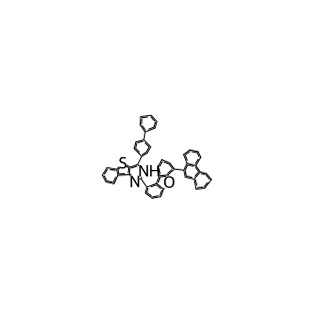 c1ccc(-c2ccc(C3=c4sc5ccccc5c4=NC(c4cccc5oc6c(-c7cc8ccccc8c8ccccc78)cccc6c45)N3)cc2)cc1